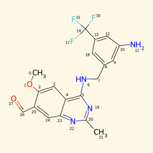 COc1cc2c(NCc3cc(N)cc(C(F)(F)F)c3)nc(C)nc2cc1C=O